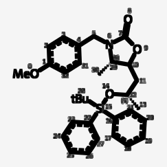 COc1ccc(CN2C(=O)OC(C[C@H](C)O[Si](c3ccccc3)(c3ccccc3)C(C)(C)C)[C@@H]2C)cc1